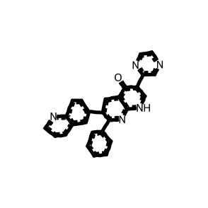 O=c1c(-c2cnccn2)c[nH]c2nc(-c3ccccc3)c(-c3ccc4ncccc4c3)cc12